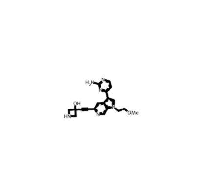 COCCn1cc(-c2ccnc(N)n2)c2cc(C#CC3(O)CNC3)ncc21